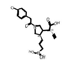 C#C[C@@H](C(=O)O)C1CN(C(=O)Cc2ccc(Cl)cc2)C[C@@H]1CCCB(O)O